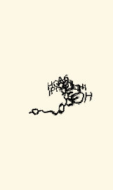 CC(=O)C1=C(O)C(C(C)C)[C@@]2(C)C[C@@]3(C)Cc4c(-c5ccc(CCCCc6ccc(C)cc6)cc5)ccc(O)c4C(=O)C3=C(O)[C@@]2(O)C1=O